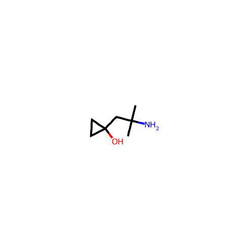 CC(C)(N)CC1(O)CC1